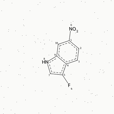 O=[N+]([O-])c1ccc2c(F)c[nH]c2c1